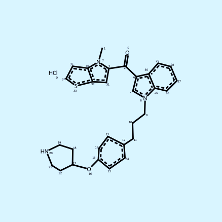 Cl.Cn1c(C(=O)c2cn(CCCc3ccc(OC4CCNCC4)cc3)c3ccccc23)cc2sccc21